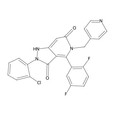 O=c1c2c(-c3cc(F)ccc3F)n(Cc3ccncc3)c(=O)cc2[nH]n1-c1ccccc1Cl